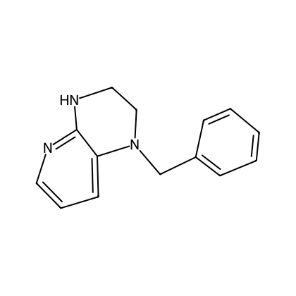 c1ccc(CN2CCNc3ncccc32)cc1